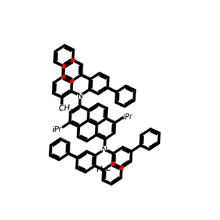 Cc1ccc(-c2ccccc2)cc1N(c1cc(-c2ccccc2)ccc1-c1ccccc1)c1cc(C(C)C)c2ccc3c(N(c4cc(-c5ccccc5)ccc4C)c4cc(-c5ccccc5)ccc4-c4ccccc4)cc(C(C)C)c4ccc1c2c43